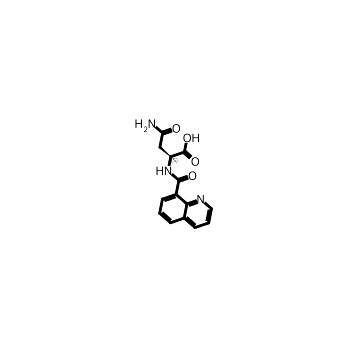 NC(=O)C[C@H](NC(=O)c1cccc2cccnc12)C(=O)O